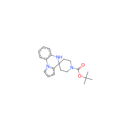 CC(C)(C)OC(=O)N1CCC2(CC1)Nc1ccccc1-n1cccc12